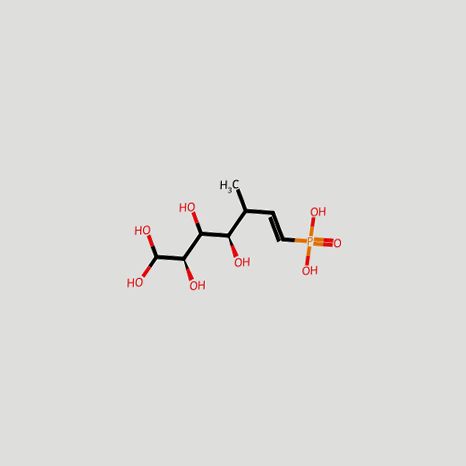 CC(/C=C/P(=O)(O)O)[C@@H](O)C(O)[C@@H](O)C(O)O